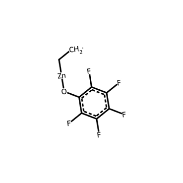 [CH2][CH2][Zn][O]c1c(F)c(F)c(F)c(F)c1F